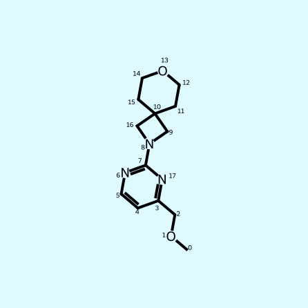 COCc1ccnc(N2CC3(CCOCC3)C2)n1